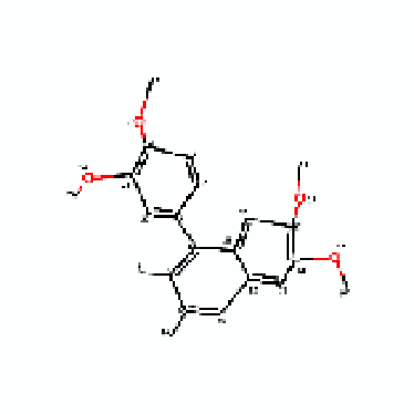 COc1ccc(-c2c(C)c(C)cc3cc(OC)c(OC)cc23)cc1OC